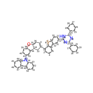 C1=C(c2cccc3c2sc2ccc(C4=NC(c5ccccc5)=NC(c5ccccc5)N4)cc23)CC2C(=C1)Oc1ccc(-n3c4ccccc4c4ccccc43)cc12